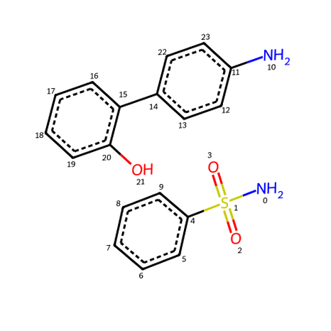 NS(=O)(=O)c1ccccc1.Nc1ccc(-c2ccccc2O)cc1